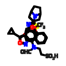 O=CN(CCS(=O)(=O)O)c1ccc2nc(N3C4CCC3CC(OCc3c(-c5ccccc5OC(F)(F)F)noc3C3CC3)C4)sc2c1